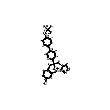 OC(Cc1ccc(Cl)cc1F)(Cn1cnnn1)c1ccc(-c2ccc(OC(F)(F)F)cc2)cn1